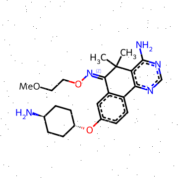 COCCO/N=C1\c2cc(O[C@H]3CC[C@H](N)CC3)ccc2-c2ncnc(N)c2C1(C)C